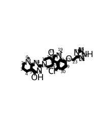 CN1CCCc2c(O)nc(N3CCC4(CC3)C(=O)N(C)c3c(OCc5nn[nH]n5)ccc(Cl)c34)nc21